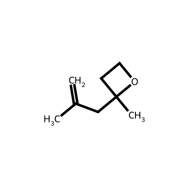 C=C(C)CC1(C)CCO1